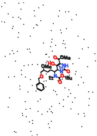 CCN(C(=O)OC(C)(C)C)C(CCC(COCc1ccccc1)OC)C1NC(=O)NC(C(=O)OC)=C1O